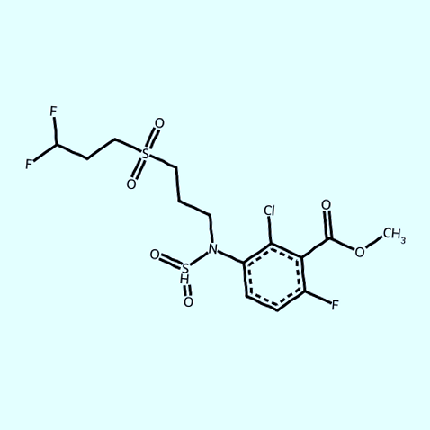 COC(=O)c1c(F)ccc(N(CCCS(=O)(=O)CCC(F)F)[SH](=O)=O)c1Cl